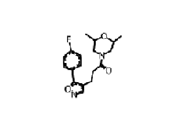 CC1CN(C(=O)CCc2cnoc2-c2ccc(F)cc2)CC(C)O1